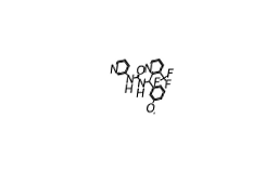 COc1cccc(C(NC(=O)Nc2cccnc2)c2ncccc2C(F)(F)F)c1